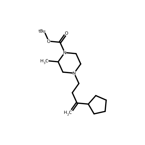 C=C(CCN1CCN(C(=O)OC(C)(C)C)C(C)C1)C1CCCC1